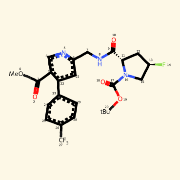 COC(=O)c1cnc(CNC(=O)[C@@H]2C[C@@H](F)CN2C(=O)OC(C)(C)C)cc1-c1ccc(C(F)(F)F)cc1